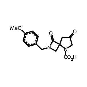 COc1ccc(CN2CC3(CC(=O)CN3C(=O)O)C2=O)cc1